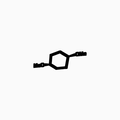 CO[C@H]1CC[C@@H](OC)CC1